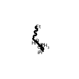 CC/C=C\C/C=C\C/C=C\C/C=C\C/C=C\C/C=C\CCC(=O)NCCNC(=O)C(C)c1ccc(CC(C)C)cc1